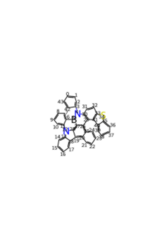 c1ccc(N2B3c4ccccc4-n4c5ccccc5c5c6ccccc6c(c3c54)-c3c2ccc2sc4ccccc4c32)cc1